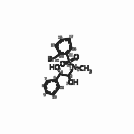 CN([C@@H](O)[C@@H](O)c1ccccc1)S(=O)(=O)c1ccccc1Br